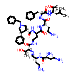 CC(=O)[C@H](CC(C)C)NC(=O)[C@@H](Cc1ccccc1)NC(=O)[C@H](CCN)NC(=O)C(CCNC(=O)[C@@H](/N=C/[C@H](CCN)NC(=O)[C@@H](N)CCN)[C@@H](C)O)NC(=O)[C@H]1CN(Cc2ccccc2)C[C@@H]1c1ccccc1